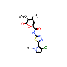 COc1c(C)cc(C(=O)Nc2nnc(-c3c(Cl)ccn3C)s2)oc1=O